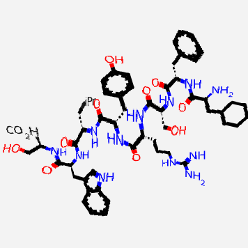 CC(C)C[C@H](NC(=O)[C@H](Cc1ccc(O)cc1)NC(=O)[C@@H](CCCNC(=N)N)NC(=O)[C@@H](CO)NC(=O)[C@H](Cc1ccccc1)NC(=O)[C@@H](N)CC1CCCCC1)C(=O)N[C@@H](Cc1c[nH]c2ccccc12)C(=O)N[C@@H](CO)C(=O)O